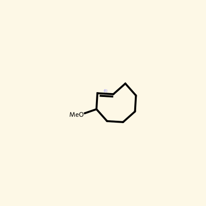 COC1/C=C/CCCCC1